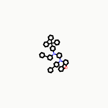 c1ccc(-c2ccc(N(c3cccc(N(c4ccc(C5(c6ccccc6)c6ccccc6-c6ccccc65)cc4)c4cccc(-c5ccccc5)c4)c3)c3cccc4oc5ccccc5c34)cc2)cc1